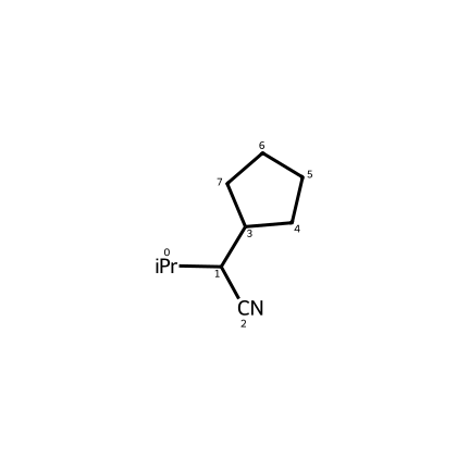 CC(C)C(C#N)C1CCCC1